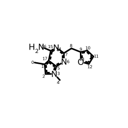 Cc1cn(C)c2nc(Cc3ccco3)nc(N)c12